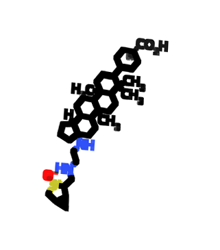 CC1(C)C(C2=CC[C@@H](C(=O)O)CC2)=CCC2(C)C1CCC1(C)C3CCC4(NCCNCC5C6CC6C[S+]5[O-])CCC[C@@H]4C3CCC12